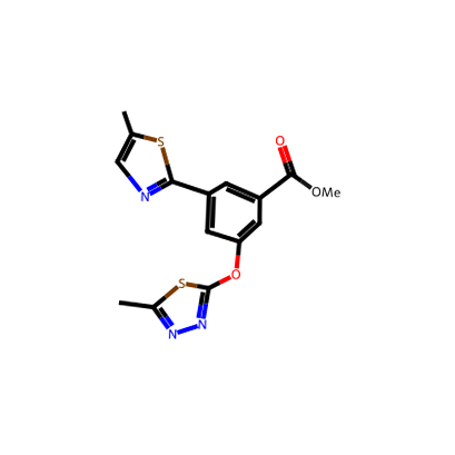 COC(=O)c1cc(Oc2nnc(C)s2)cc(-c2ncc(C)s2)c1